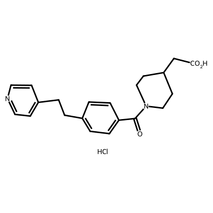 Cl.O=C(O)CC1CCN(C(=O)c2ccc(CCc3ccncc3)cc2)CC1